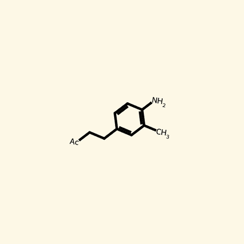 CC(=O)CCc1ccc(N)c(C)c1